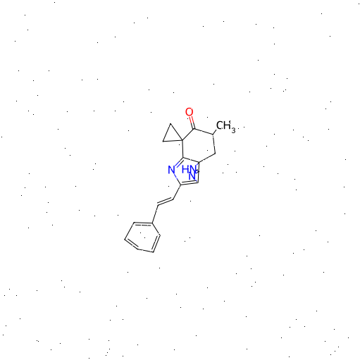 CC1CC23NC=NC2=C(/C=C/c2ccccc2)N=C3C2(CC2)C1=O